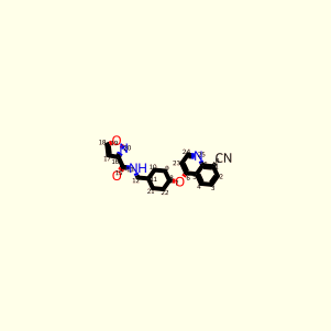 N#Cc1cccc2c(OC3CCC(CNC(=O)c4ccon4)CC3)ccnc12